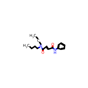 CCCCN(CCCC)C(=O)C=CC(=O)Nc1ccccc1